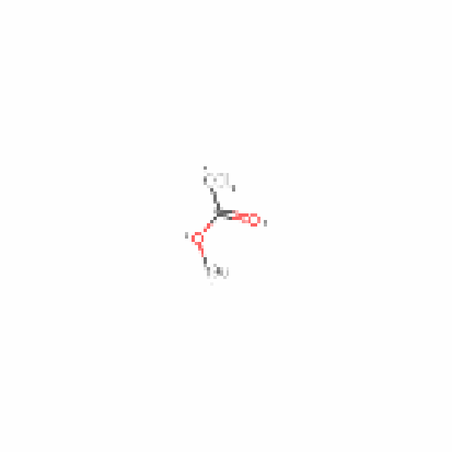 CC(C)(C)OC(=O)C(Cl)(Cl)Cl